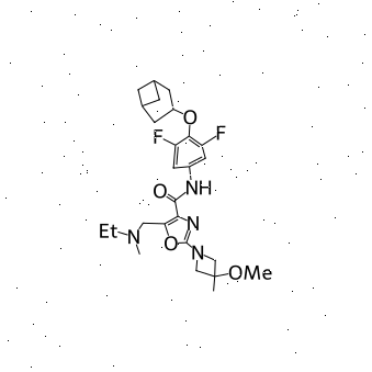 CCN(C)Cc1oc(N2CC(C)(OC)C2)nc1C(=O)Nc1cc(F)c(OC2CC3CC(C3)C2)c(F)c1